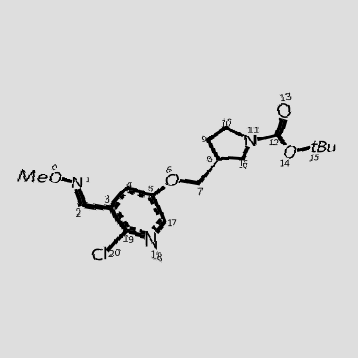 CON=Cc1cc(OC[C@H]2CCN(C(=O)OC(C)(C)C)C2)cnc1Cl